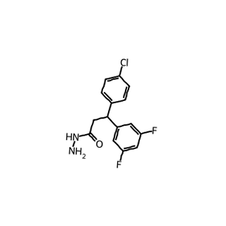 NNC(=O)CC(c1ccc(Cl)cc1)c1cc(F)cc(F)c1